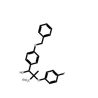 CCOC(=O)C(C)(Oc1ccc(F)cc1)C(O)c1ccc(OCc2ccccc2)cc1